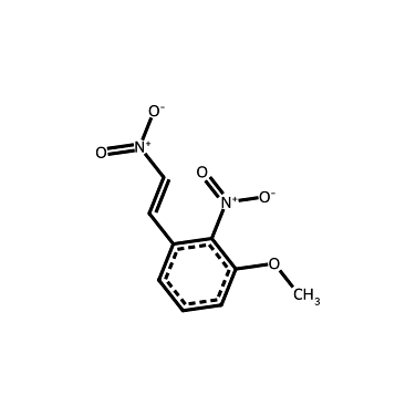 COc1cccc(C=C[N+](=O)[O-])c1[N+](=O)[O-]